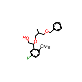 COc1ccc(F)cc1C(CO)OCC(C)COCc1ccccc1